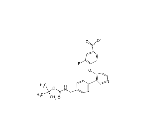 CC(C)(C)OC(=O)NCc1ccc(-c2cnccc2Oc2ccc([N+](=O)[O-])cc2F)cc1